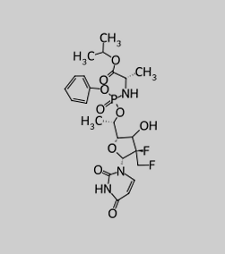 CC(C)OC(=O)[C@H](C)NP(=O)(Oc1ccccc1)O[C@@H](C)[C@H]1O[C@@H](n2ccc(=O)[nH]c2=O)[C@@](F)(CF)C1O